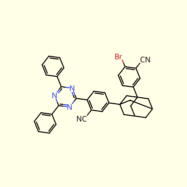 N#Cc1cc(C23CC4CC(C2)CC(c2ccc(-c5nc(-c6ccccc6)nc(-c6ccccc6)n5)c(C#N)c2)(C4)C3)ccc1Br